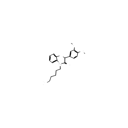 COc1ccc(C2Oc3ccccc3N(CCCCCBr)C2=O)cc1OC